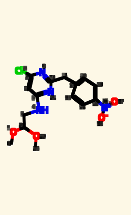 COC(CNc1[c]c(Cl)nc(Cc2ccc([N+](=O)[O-])cc2)n1)OC